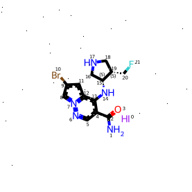 I.NC(=O)c1cnn2cc(Br)cc2c1N[C@@H]1CNC[C@@H]1CF